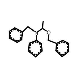 CC(OCc1ccccc1)N(Cc1ccccc1)c1ccccc1